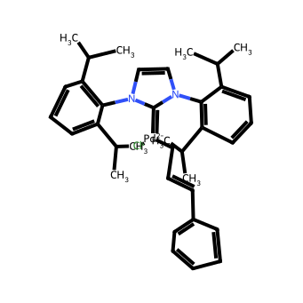 CC(C)c1cccc(C(C)C)c1-n1ccn(-c2c(C(C)C)cccc2C(C)C)[c]1=[Pd-2]([Cl])[CH2]C=Cc1ccccc1